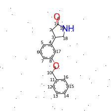 O=C1CC(c2cccc(OCc3ccccc3)c2)CN1